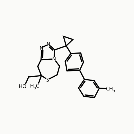 Cc1cccc(-c2ccc(C3(c4nnc5n4CCSC(C)(CO)C5)CC3)cc2)c1